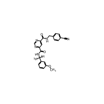 [2H]C([2H])(NC(=O)c1cc(C(=O)NCc2ccc(C#N)cc2)ncn1)c1cccc(OC)c1